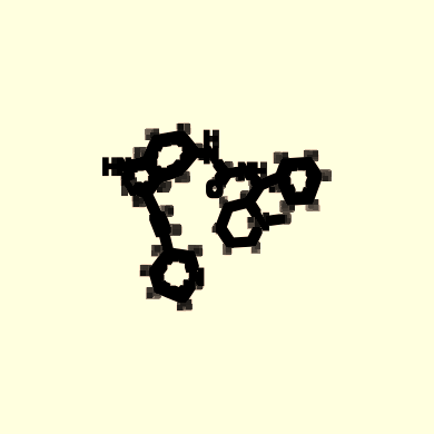 CN1CCCCC1C(NC(=O)Nc1ccc2[nH]nc(C#Cc3cccnc3)c2c1)c1ccccc1